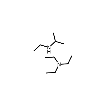 CCN(CC)CC.CCNC(C)C